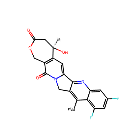 CCCCc1c2c(nc3cc(F)cc(F)c13)-c1cc3c(c(=O)n1C2)COC(=O)C[C@]3(O)CC